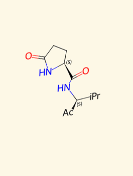 CC(=O)[C@@H](NC(=O)[C@@H]1CCC(=O)N1)C(C)C